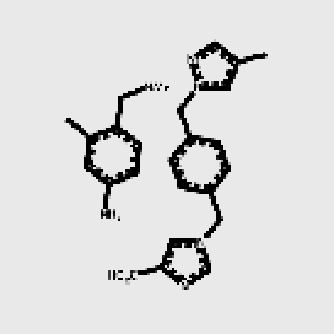 CNCc1ccc(N)cc1C.Cc1cnn(Cc2ccc(Cn3cnc(C(=O)O)c3)cc2)c1